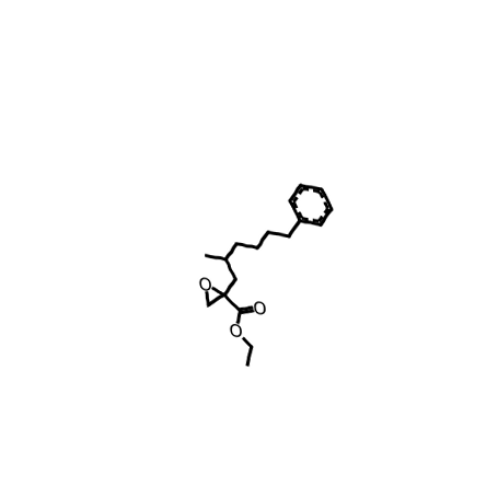 CCOC(=O)C1(CC(C)CCCCc2ccccc2)CO1